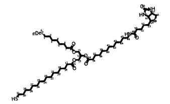 CCCCCCCCCCCCCCCCCC(=O)OCC(COC(=O)CCCCCCCCCCCCCCCS)OC(=O)CCCCCCCCCCCNC(=O)CCCCC1SCC2NC(=O)NC21